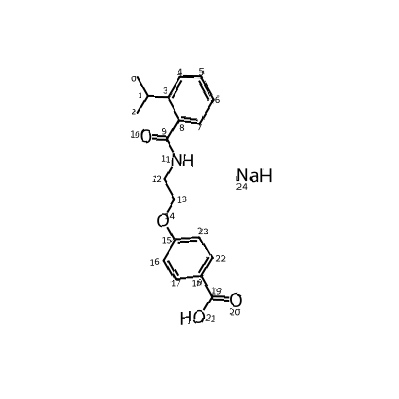 CC(C)c1ccccc1C(=O)NCCOc1ccc(C(=O)O)cc1.[NaH]